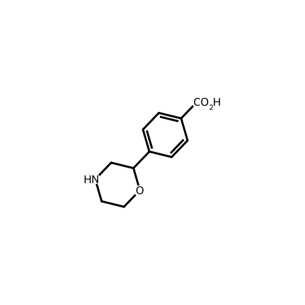 O=C(O)c1ccc(C2CNCCO2)cc1